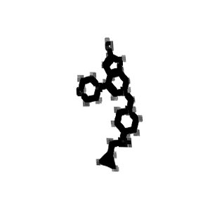 Clc1cc2c(s1)CN(CN1CCC(NCC3CC3)CC1)C=C2N1CCOCC1